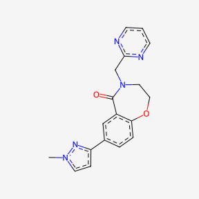 Cn1ccc(-c2ccc3c(c2)C(=O)N(Cc2ncccn2)CCO3)n1